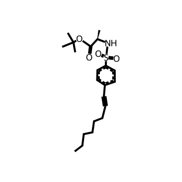 CCCCCCC#Cc1ccc(S(=O)(=O)N[C@H](C)C(=O)OC(C)(C)C)cc1